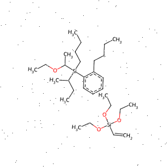 C=C[Si](OCC)(OCC)OCC.CCCCc1ccccc1[Si](CCCC)(C(C)CC)C(C)OCC